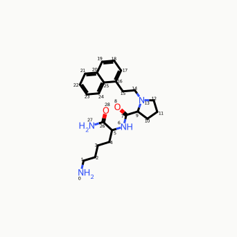 NCCCCC(NC(=O)C1CCCN1CCc1cccc2ccccc12)C(N)=O